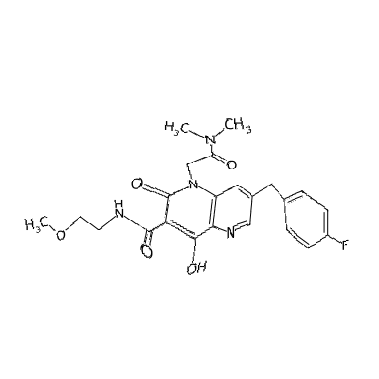 COCCNC(=O)c1c(O)c2ncc(Cc3ccc(F)cc3)cc2n(CC(=O)N(C)C)c1=O